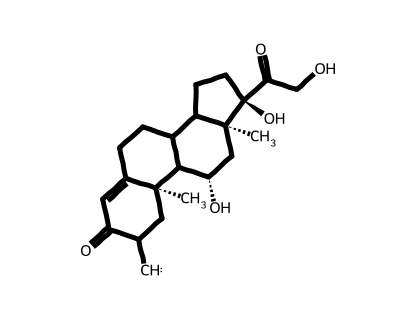 [CH]C1C[C@@]2(C)C(=CC1=O)CCC1C2[C@@H](O)C[C@@]2(C)C1CC[C@]2(O)C(=O)CO